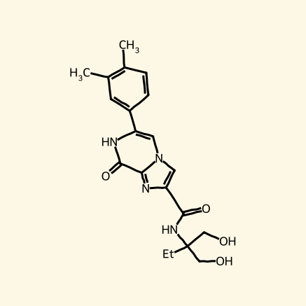 CCC(CO)(CO)NC(=O)c1cn2cc(-c3ccc(C)c(C)c3)[nH]c(=O)c2n1